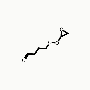 O=CCCCOOC1CO1